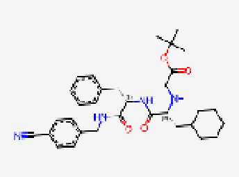 CC(C)(C)OC(=O)CN[C@H](CC1CCCCC1)C(=O)N[C@@H](Cc1ccccc1)C(=O)NCc1ccc(C#N)cc1